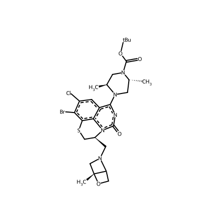 C[C@@H]1CN(c2nc(=O)n3c4c(c(Br)c(Cl)cc24)SC[C@@H]3CN2C[C@@]3(C)OCC23)[C@@H](C)CN1C(=O)OC(C)(C)C